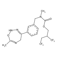 CC1=NCC(c2cccc(CN(C)C(=O)OCC(CC(F)(F)F)C(F)(F)F)c2)=NNO1